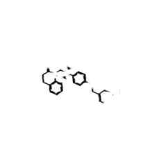 NC/C(=C\F)COc1ccc(S(=O)(=O)CN2C(=O)CCc3ccccc32)cc1